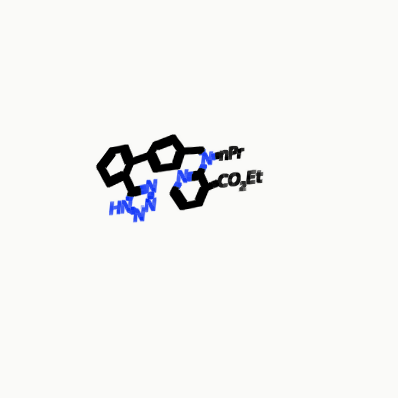 CCCN(Cc1ccc(-c2ccccc2-c2nnn[nH]2)cc1)c1ncccc1C(=O)OCC